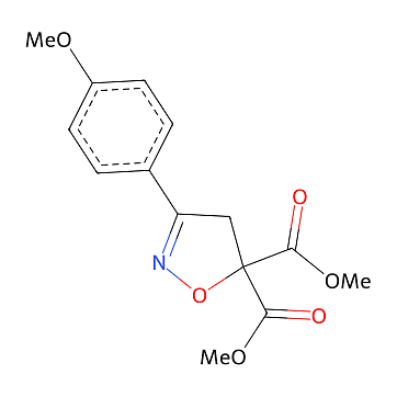 COC(=O)C1(C(=O)OC)CC(c2ccc(OC)cc2)=NO1